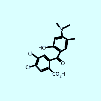 Cc1cc(C(=O)c2cc(Cl)c(Cl)cc2C(=O)O)c(O)cc1N(C)C